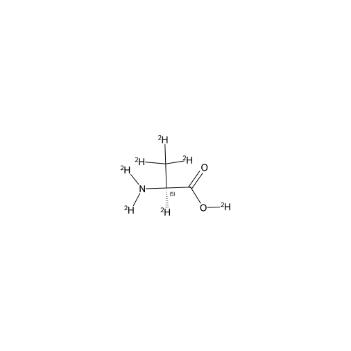 [2H]OC(=O)[C@@]([2H])(N([2H])[2H])C([2H])([2H])[2H]